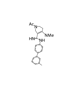 CNC1=C(C(=N)Nc2ccc(-c3cccc(C)c3)cc2)CN(C(C)=O)CC1